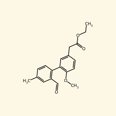 CCOC(=O)Cc1ccc(OC)c(-c2ccc(C)cc2C=O)c1